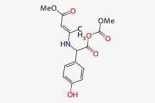 COC(=O)/C=C(\C)NC(C(=O)OC(=O)OC)c1ccc(O)cc1